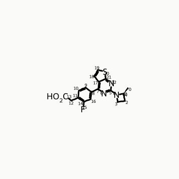 C[C@H]1CCN1c1nc(-c2ccc(CC(=O)O)c(F)c2)c2ccsc2n1